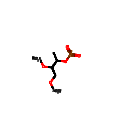 CC(O[SH](=O)=O)C(COS(=O)(=O)O)OS(=O)(=O)O